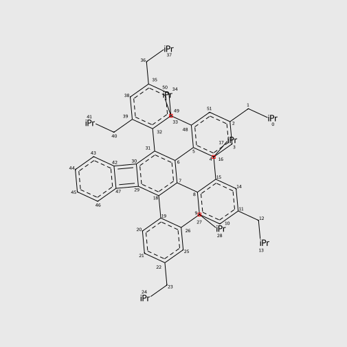 CC(C)Cc1ccc(-c2c(-c3ccc(CC(C)C)cc3CC(C)C)c(-c3ccc(CC(C)C)cc3CC(C)C)c3c(c2-c2ccc(CC(C)C)cc2CC(C)C)=c2ccccc2=3)c(CC(C)C)c1